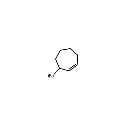 [CH2]CC(C)C1C=CCCCC1